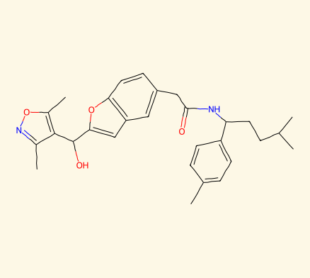 Cc1ccc(C(CCC(C)C)NC(=O)Cc2ccc3oc(C(O)c4c(C)noc4C)cc3c2)cc1